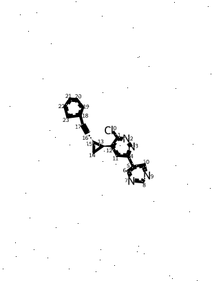 Clc1nnc(-c2cncnc2)cc1[C@H]1C[C@@H]1C#Cc1ccccc1